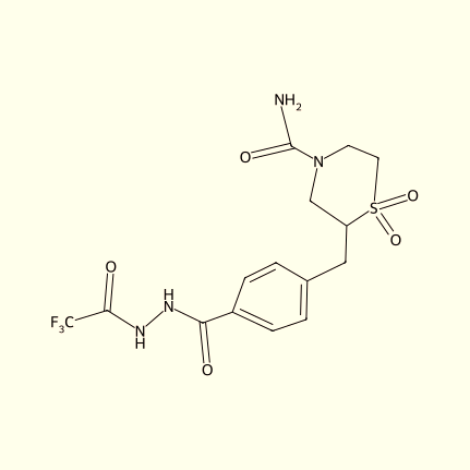 NC(=O)N1CCS(=O)(=O)C(Cc2ccc(C(=O)NNC(=O)C(F)(F)F)cc2)C1